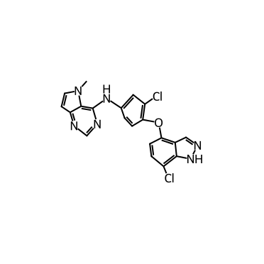 Cn1ccc2ncnc(Nc3ccc(Oc4ccc(Cl)c5[nH]ncc45)c(Cl)c3)c21